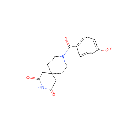 O=C1CC2(CCN(C(=O)c3ccc(O)cc3)CC2)CC(=O)N1